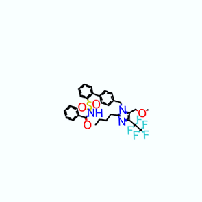 CCCCc1nc(C(F)(F)C(F)(F)F)c(COC)n1Cc1ccc(-c2ccccc2S(=O)(=O)NC(=O)c2ccccc2)cc1